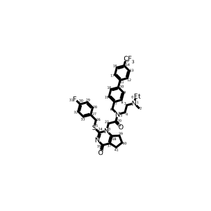 CCN(C)CCN(Cc1ccc(-c2ccc(C(F)(F)F)cc2)cc1)C(=O)Cn1c(SCc2ccc(F)cc2)nc(=O)c2c1CCC2